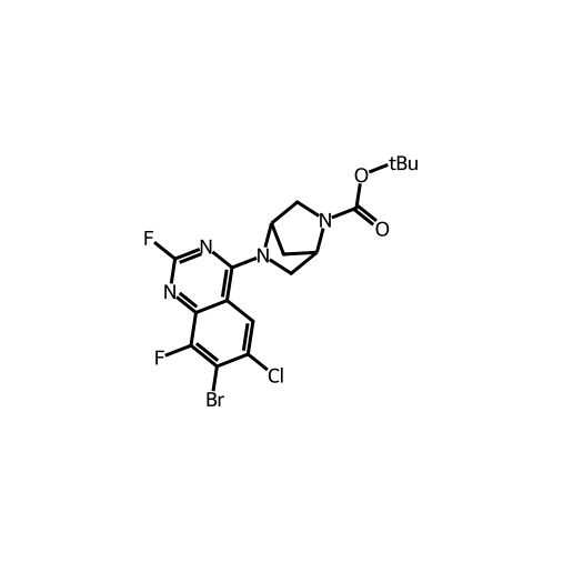 CC(C)(C)OC(=O)N1CC2CC1CN2c1nc(F)nc2c(F)c(Br)c(Cl)cc12